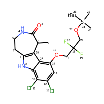 CC1C(=O)NCCc2[nH]c3c(Cl)c(Cl)cc(OCC(F)(F)CO[Si](C)(C)C(C)(C)C)c3c21